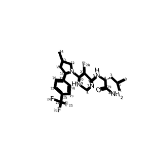 CC(C)C[C@@H](NC1=NCNC(N2CC(C)CC2c2ccc(C(F)(F)F)cc2)C1F)C(N)=O